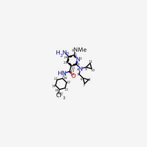 CNc1nc(N(CC2CC2)C2CC2)c(C(=O)N[C@H]2CC[C@H](C(F)(F)F)CC2)cc1N